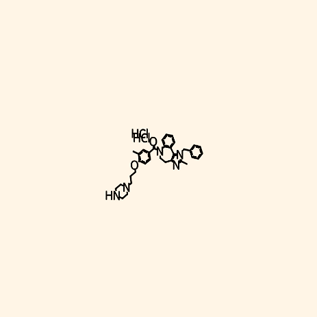 Cc1cc(C(=O)N2CCc3nc(C)n(Cc4ccccc4)c3-c3ccccc32)ccc1OCCCN1CCNCC1.Cl.Cl